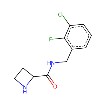 O=C(NCc1cccc(Cl)c1F)C1CCN1